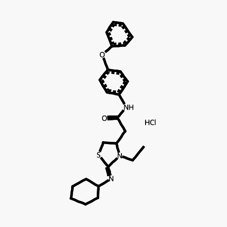 CCN1/C(=N/C2CCCCC2)SCC1CC(=O)Nc1ccc(Oc2ccccc2)cc1.Cl